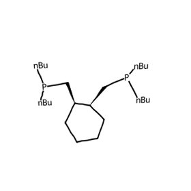 CCCCP(CCCC)C[C@H]1CCCC[C@H]1CP(CCCC)CCCC